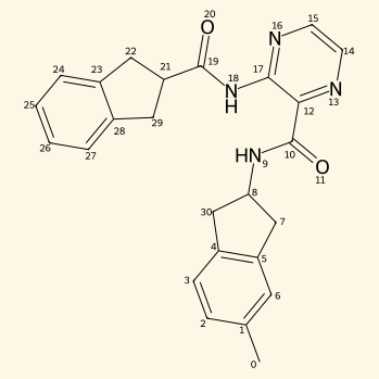 Cc1ccc2c(c1)CC(NC(=O)c1nccnc1NC(=O)C1Cc3ccccc3C1)C2